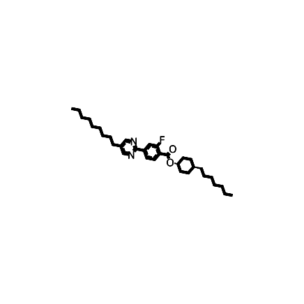 CCCCCCCCCc1cnc(-c2ccc(C(=O)O[C@H]3CC[C@H](CCCCCCC)CC3)c(F)c2)nc1